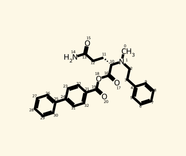 CN(CCc1ccccc1)[C@@H](CCC(N)=O)C(=O)OC(=O)c1ccc(-c2ccccc2)cc1